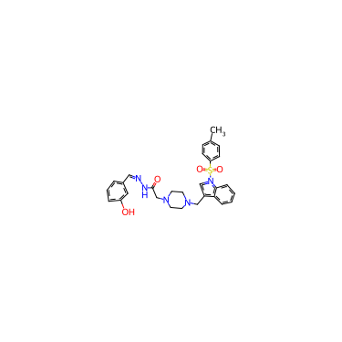 Cc1ccc(S(=O)(=O)n2cc(CN3CCN(CC(=O)N/N=C\c4cccc(O)c4)CC3)c3ccccc32)cc1